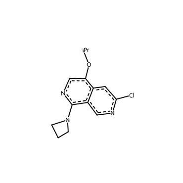 CC(C)Oc1cnc(N2CCC2)c2cnc(Cl)cc12